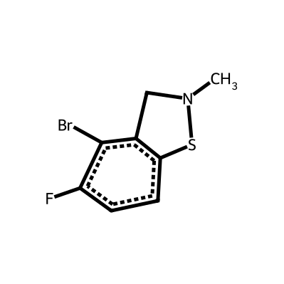 CN1Cc2c(ccc(F)c2Br)S1